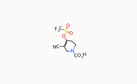 N#CC1=C(OS(=O)(=O)C(F)(F)F)CCN(C(=O)O)C1